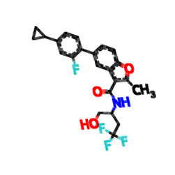 Cc1oc2ccc(-c3ccc(C4CC4)cc3F)cc2c1C(=O)NC(CO)CC(F)(F)F